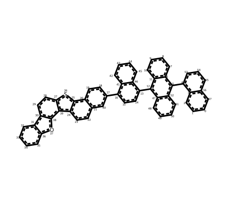 c1ccc2c(-c3c4ccccc4c(-c4ccc(-c5ccc6c(ccc7c6sc6ccc8c9ccccc9oc8c67)c5)c5ccccc45)c4ccccc34)cccc2c1